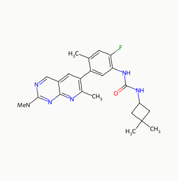 CNc1ncc2cc(-c3cc(NC(=O)NC4CC(C)(C)C4)c(F)cc3C)c(C)nc2n1